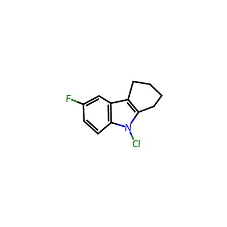 Fc1ccc2c(c1)c1c(n2Cl)CCCC1